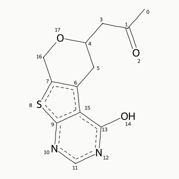 CC(=O)CC1Cc2c(sc3ncnc(O)c23)CO1